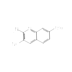 CC(C)(C)c1ccc2cc(C#N)c(N)nc2c1